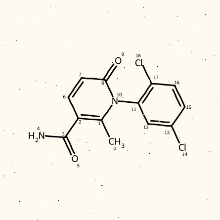 Cc1c(C(N)=O)ccc(=O)n1-c1cc(Cl)ccc1Cl